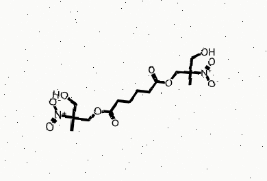 CC(CO)(COC(=O)CCCCC(=O)OCC(C)(CO)[N+](=O)[O-])[N+](=O)[O-]